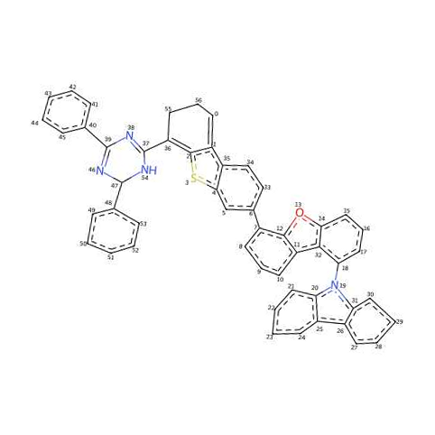 C1=c2c(sc3cc(-c4cccc5c4oc4cccc(-n6c7ccccc7c7ccccc76)c45)ccc23)=C(C2=NC(c3ccccc3)=NC(c3ccccc3)N2)CC1